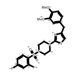 COc1ccc(Cc2csc(N3CCN(S(=O)(=O)c4ccc(F)cc4F)CC3)n2)cc1OC